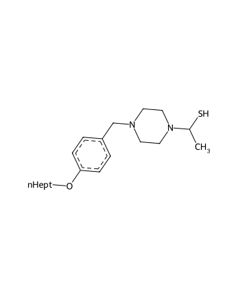 CCCCCCCOc1ccc(CN2CCN(C(C)S)CC2)cc1